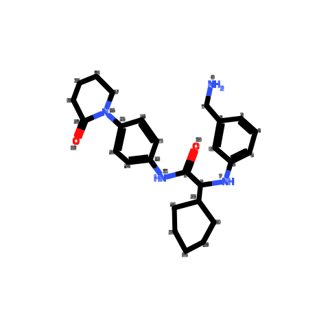 NCc1cccc(NC(C(=O)Nc2ccc(N3CCCCC3=O)cc2)C2CCCCC2)c1